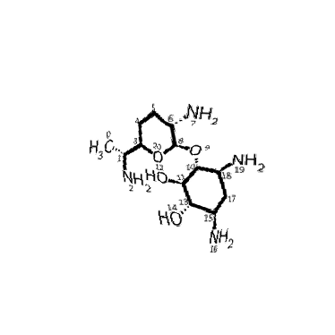 C[C@@H](N)C1CC[C@H](N)[C@@H](O[C@H]2[C@H](O)[C@@H](O)[C@H](N)C[C@@H]2N)O1